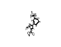 COC(=O)c1cc(-c2cccc(C(F)(F)F)c2)nn1C